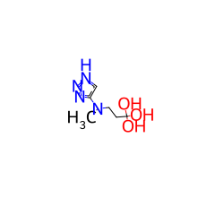 CN(CCC(O)(O)O)c1c[nH]nn1